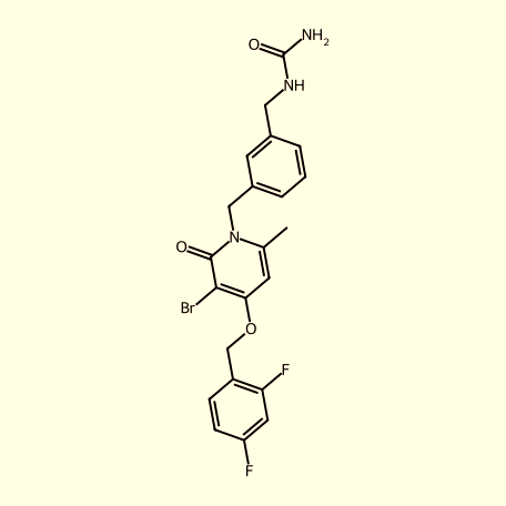 Cc1cc(OCc2ccc(F)cc2F)c(Br)c(=O)n1Cc1cccc(CNC(N)=O)c1